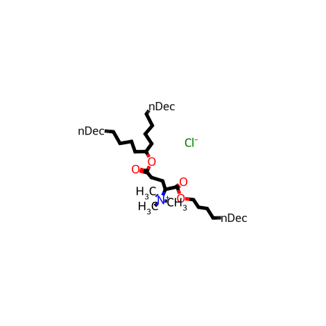 CCCCCCCCCCCCCCOC(=O)C(CCC(=O)OC(CCCCCCCCCCCCCC)CCCCCCCCCCCCCC)[N+](C)(C)C.[Cl-]